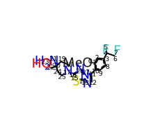 COc1cc(C(F)CF)ccc1-c1cnc2sc(N3CCC(N)(CO)CC3)nn12